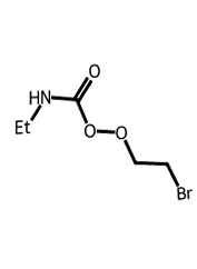 CCNC(=O)OOCCBr